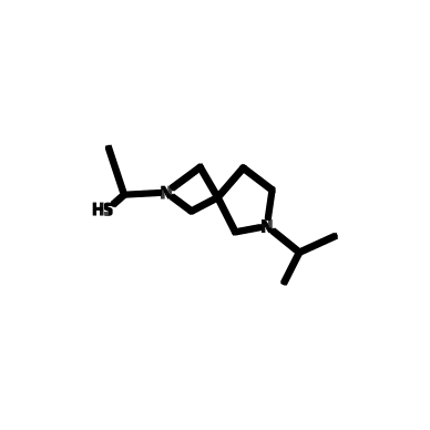 CC(C)N1CCC2(C1)CN(C(C)S)C2